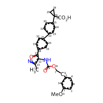 COc1cccc(CCOC(=O)Nc2c(C)noc2-c2ccc(-c3ccc(C4(C(=O)O)CC4)cc3)cc2)c1